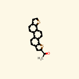 CC(=O)c1cc2ccc3c4ccc5ccsc5c4ccc3c2s1